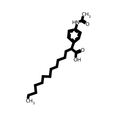 CCCCCCCCCCCCC(C(=O)O)c1ccc(NC(C)=O)cc1